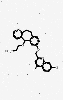 O=C(O)CCSC1c2cc(OCc3cc(F)c4ccc(Cl)cc4n3)ccc2CCc2ncccc21